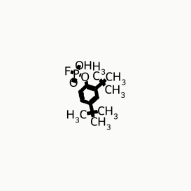 CC(C)(C)c1ccc(OP(=O)(O)F)c(C(C)(C)C)c1